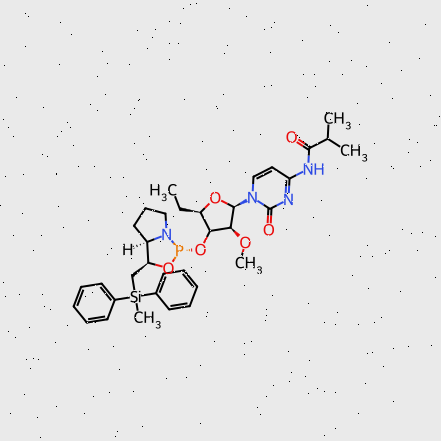 CC[C@H]1O[C@@H](n2ccc(NC(=O)C(C)C)nc2=O)[C@@H](OC)C1O[P@]1O[C@@H](C[Si](C)(c2ccccc2)c2ccccc2)[C@H]2CCCN21